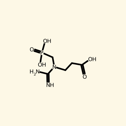 N=C(N)N(CCC(=O)O)CP(=O)(O)O